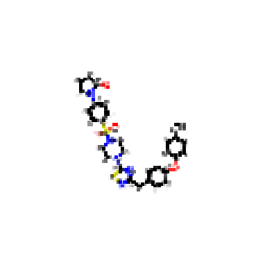 Cc1ccc(Oc2ccc(Cc3nsc(N4CCN(S(=O)(=O)c5ccc(N6CCCC6=O)cc5)CC4)n3)cc2)cc1